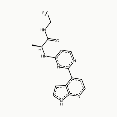 C[C@H](Nc1ccnc(-c2ccnc3[nH]ccc23)n1)C(=O)NCC(F)(F)F